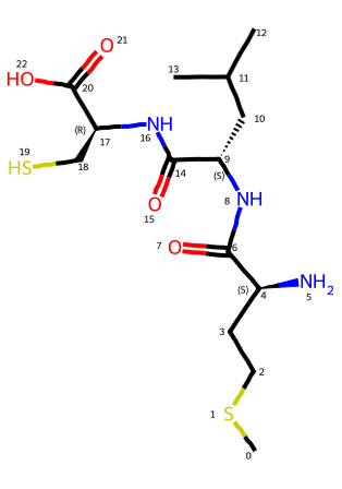 CSCC[C@H](N)C(=O)N[C@@H](CC(C)C)C(=O)N[C@@H](CS)C(=O)O